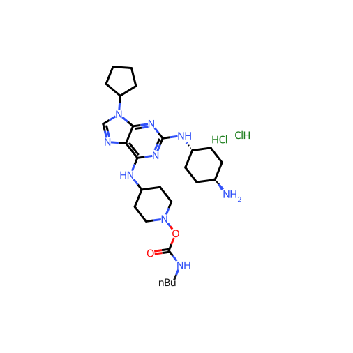 CCCCNC(=O)ON1CCC(Nc2nc(N[C@H]3CC[C@H](N)CC3)nc3c2ncn3C2CCCC2)CC1.Cl.Cl